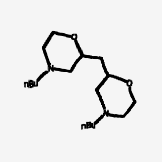 CCCCN1CCOC(CC2CN(CCCC)CCO2)C1